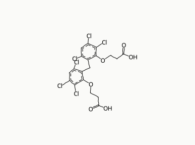 O=C(O)CCOc1c(Cl)c(Cl)cc(Cl)c1Cc1c(Cl)cc(Cl)c(Cl)c1OCCC(=O)O